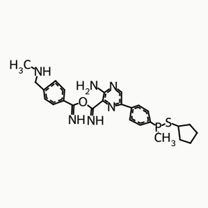 CNCc1ccc(C(=N)OC(=N)c2nc(-c3ccc(P(C)SC4CCCC4)cc3)cnc2N)cc1